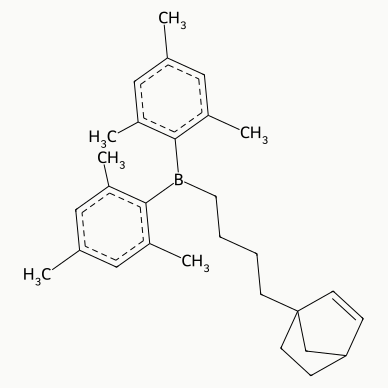 Cc1cc(C)c(B(CCCCC23C=CC(CC2)C3)c2c(C)cc(C)cc2C)c(C)c1